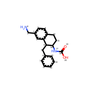 NCc1ccc2c(c1)C(Cc1ccccc1)C(NC(=O)O)CC2